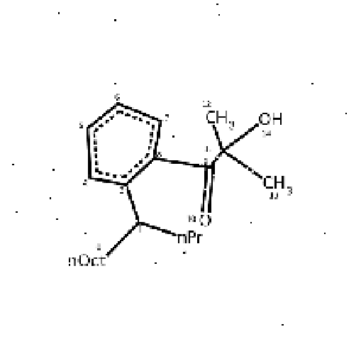 CCCCCCCCC(CCC)c1ccccc1C(=O)C(C)(C)O